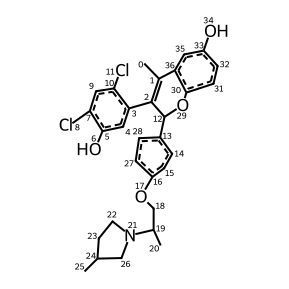 CC1=C(c2cc(O)c(Cl)cc2Cl)C(c2ccc(OCC(C)N3CCC(C)C3)cc2)Oc2ccc(O)cc21